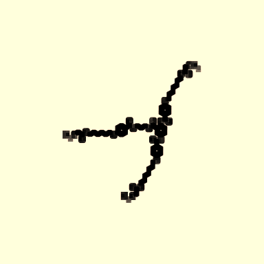 C=CC(=O)OCCCCCCCOc1ccc(C(=O)Oc2ccc(OC(=O)c3ccc(OCCCCCCCOC(=O)C=C)cc3)c(C(=O)OCCCOC(=O)c3ccc(OCCCCCCOC(=O)C=C)cc3)c2)cc1